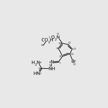 CC(=O)O.N=C(N)NN=Cc1cc([N+](=O)[O-])ccc1Br